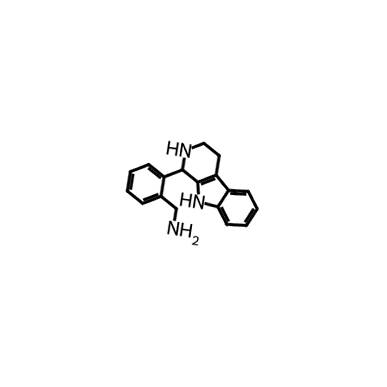 NCc1ccccc1C1NCCc2c1[nH]c1ccccc21